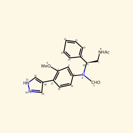 COc1cc(N(C=O)[C@H](CNC(C)=O)c2ccccc2)ccc1-c1cn[nH]c1